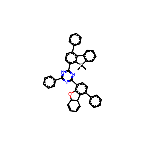 C[Si]1(C)c2ccccc2-c2c(-c3ccccc3)ccc(-c3nc(-c4ccccc4)nc(-c4ccc(-c5ccccc5)c5c4OC4C=CC=CC54)n3)c21